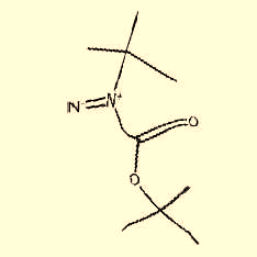 CC(C)(C)OC(=O)[N+](=[N-])C(C)(C)C